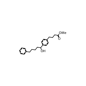 COC(=O)CCCc1ccc(C(O)CCCCc2ccccc2)cc1